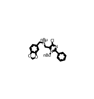 CCCCN(Cc1ccc2c(c1)OCO2)Cc1c(Cl)nc(-c2ccccc2)n1CCCC